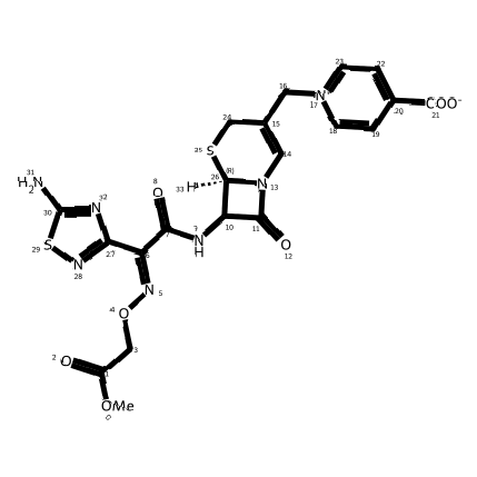 COC(=O)CON=C(C(=O)NC1C(=O)N2C=C(C[n+]3ccc(C(=O)[O-])cc3)CS[C@H]12)c1nsc(N)n1